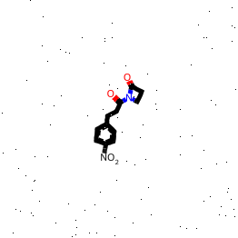 O=C(CCc1ccc([N+](=O)[O-])cc1)N1CCC1=O